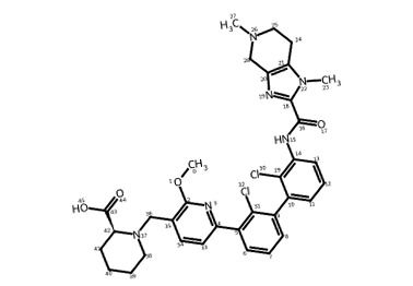 COc1nc(-c2cccc(-c3cccc(NC(=O)c4nc5c(n4C)CCN(C)C5)c3Cl)c2Cl)ccc1CN1CCCC[C@H]1C(=O)O